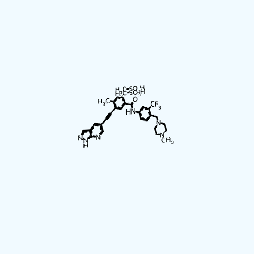 CS(=O)(=O)O.CS(=O)(=O)O.Cc1ccc(C(=O)Nc2ccc(CN3CCN(C)CC3)c(C(F)(F)F)c2)cc1C#Cc1cnc2[nH]ncc2c1